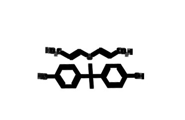 CC(C)(c1ccc(O)cc1)c1ccc(O)cc1.O=C(O)C=COC=CC(=O)O